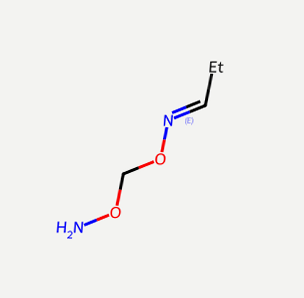 CC/C=N/OCON